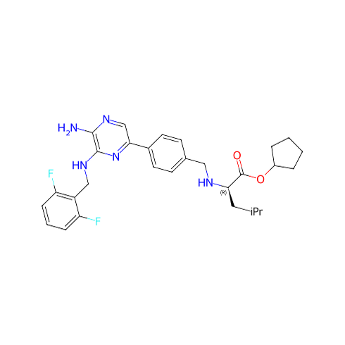 CC(C)C[C@@H](NCc1ccc(-c2cnc(N)c(NCc3c(F)cccc3F)n2)cc1)C(=O)OC1CCCC1